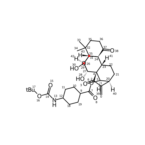 C=C1C(=O)[C@]23[C@H](OC(=O)C4CCC(NC(=O)OC(C)(C)C)CC4)[C@H]1CC[C@H]2[C@@]12CO[C@@]3(O)[C@@H](O)[C@@H]1C(C)(C)CCC2=O